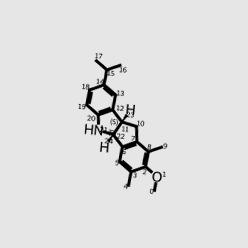 COc1c(C)cc2c(c1C)C[C@H]1c3cc(C(C)C)ccc3N[C@@H]21